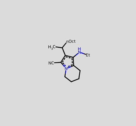 CCCCCCCCC(C)c1c(NCC)c2n(c1C#N)CCCC2